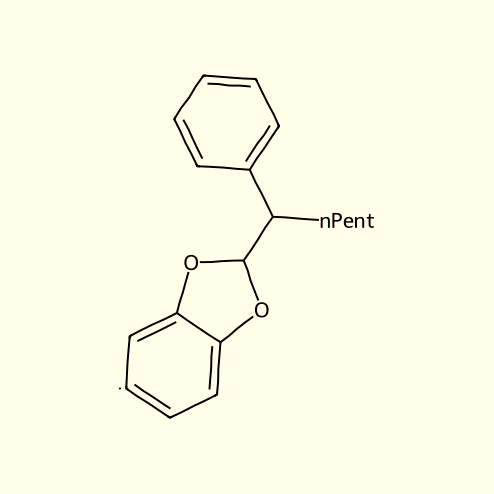 CCCCCC(c1ccccc1)C1Oc2c[c]ccc2O1